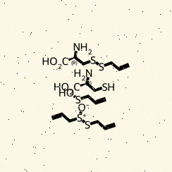 C=CCSO.C=CCSSC[C@H](N)C(=O)O.C=CCS[S+]([O-])CC=C.N[C@@H](CS)C(=O)O